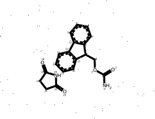 NC(=O)OCC1c2ccccc2-c2ccccc21.O=C1CCC(=O)N1